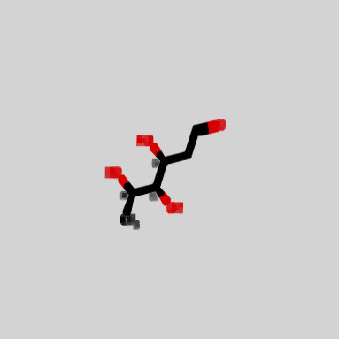 C[C@@H](O)[C@H](O)[C@@H](O)CC=O